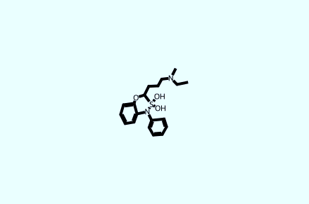 CCN(C)CCCC1Oc2ccccc2N(c2ccccc2)S1(O)O